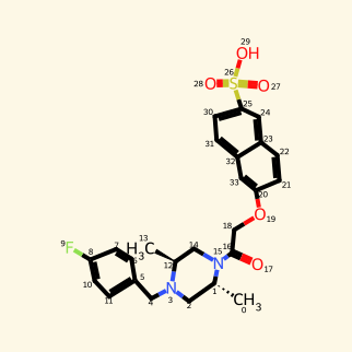 C[C@@H]1CN(Cc2ccc(F)cc2)[C@@H](C)CN1C(=O)COc1ccc2cc(S(=O)(=O)O)ccc2c1